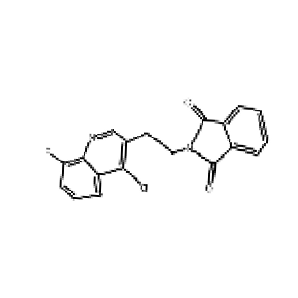 O=C1c2ccccc2C(=O)N1CCc1cnc2c(F)cccc2c1Cl